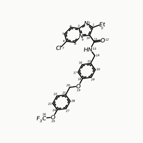 CCc1nc2ccc(Cl)cn2c1C(=O)NCc1ccc(OCc2ccc(OC(F)(F)F)cc2)cc1